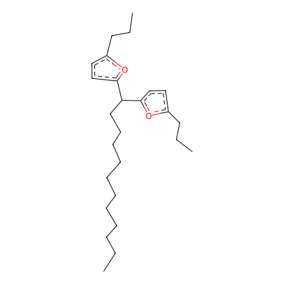 CCCCCCCCCCCC(c1ccc(CCC)o1)c1ccc(CCC)o1